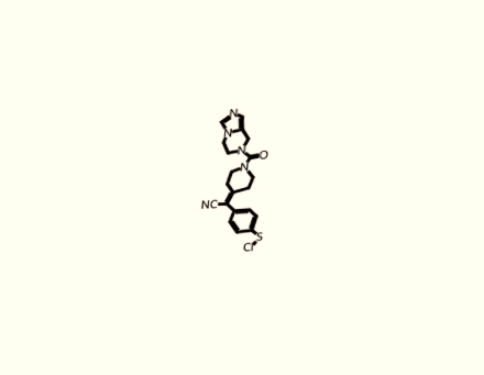 N#CC(=C1CCN(C(=O)N2CCn3cncc3C2)CC1)c1ccc(SCl)cc1